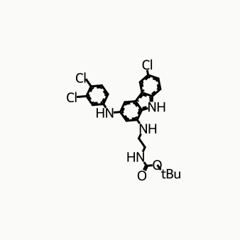 CC(C)(C)OC(=O)NCCNc1cc(Nc2ccc(Cl)c(Cl)c2)cc2c1[nH]c1ccc(Cl)cc12